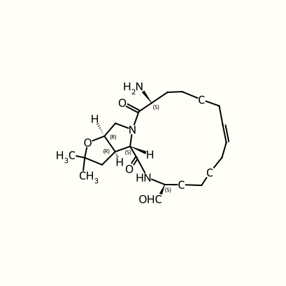 CC1(C)C[C@H]2[C@H](CN3C(=O)[C@@H](N)CCCCC=CCCCC[C@@H](C=O)NC(=O)[C@H]23)O1